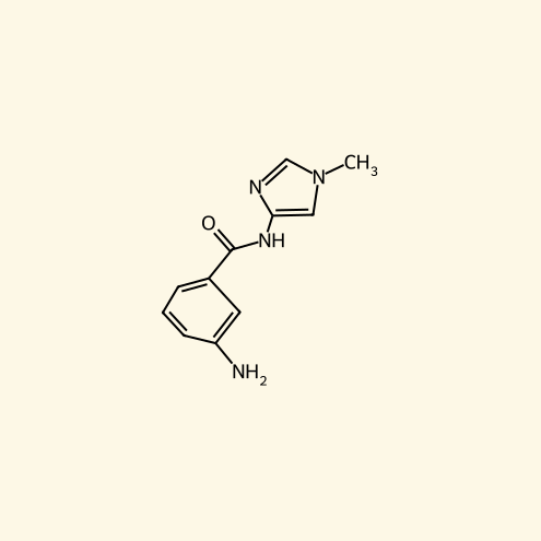 Cn1cnc(NC(=O)c2cccc(N)c2)c1